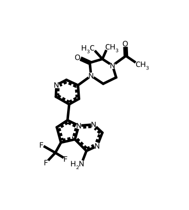 CC(=O)N1CCN(c2cncc(-c3cc(C(F)(F)F)c4c(N)ncnn34)c2)C(=O)C1(C)C